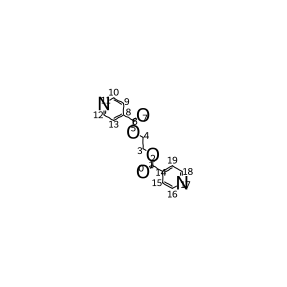 O=C(OCCOC(=O)c1ccncc1)c1ccncc1